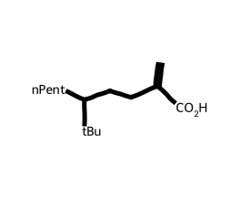 C=C(CCC(CCCCC)C(C)(C)C)C(=O)O